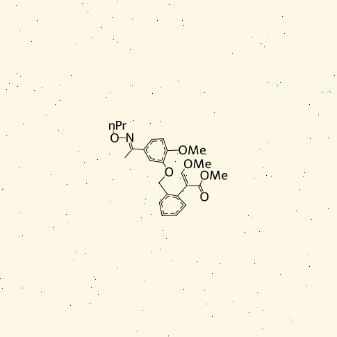 CCCO/N=C(\C)c1ccc(OC)c(OCc2ccccc2/C(=C/OC)C(=O)OC)c1